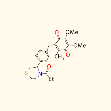 CCC(=O)N1CCSCC1c1ccc(CC2=C(C)C(=O)C(OC)=C(OC)C2=O)cc1